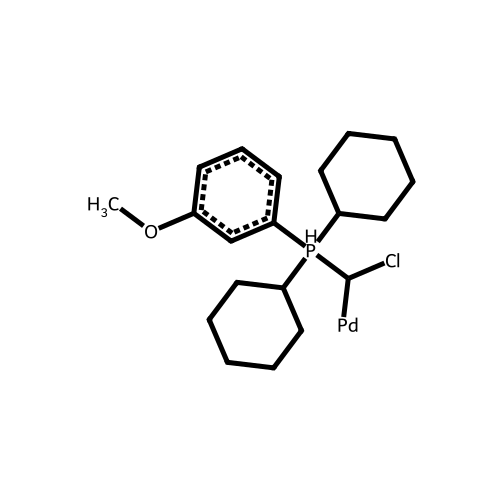 COc1cccc([PH]([CH](Cl)[Pd])(C2CCCCC2)C2CCCCC2)c1